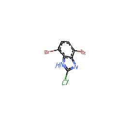 Clc1nc2c(Br)ccc(Br)c2[nH]1